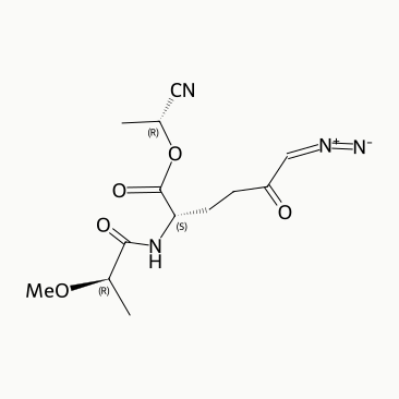 CO[C@H](C)C(=O)N[C@@H](CCC(=O)C=[N+]=[N-])C(=O)O[C@H](C)C#N